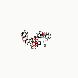 CCOC1(C)OC(=Cc2ccc(Oc3ccccc3)cc2)C(=O)C(=Cc2ccc(Oc3ccccc3)cc2)O1